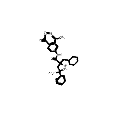 Cc1noc(=O)c2ccc(NC(=O)C(O)(CC3CCCCC3)CC(C)(C)c3ccccc3)cc12